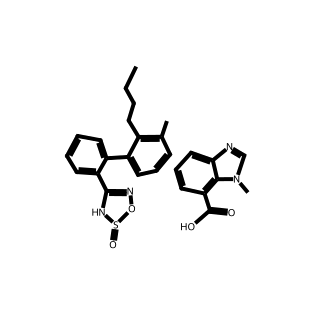 CCCCc1c(C)cccc1-c1ccccc1C1=NOS(=O)N1.Cn1cnc2cccc(C(=O)O)c21